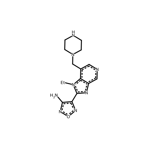 CCn1c(-c2nonc2N)nc2cncc(CN3CCNCC3)c21